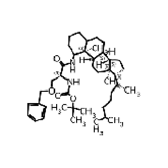 CC(C)CCC[C@@H](C)[C@H]1CC[C@H]2[C@@H]3CCC4CCCC(NC(=O)[C@H](COCc5ccccc5)NC(=O)OC(C)(C)C)[C@]4(C)[C@H]3CC[C@]12C